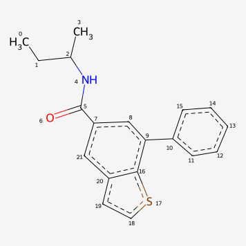 CCC(C)NC(=O)c1cc(-c2ccccc2)c2sccc2c1